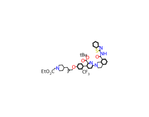 CCOC(=O)CN1CCC(C[C@H](C)COc2ccc(-c3ccc(N4CCc5cccc(C(=O)Nc6nc7ccccc7s6)c5C4)nc3C(=O)OC(C)(C)C)c(C(F)(F)F)c2)CC1